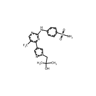 CC(C)(O)Cn1cc(-c2nc(Nc3ccc(S(N)(=O)=O)cc3)ncc2C(F)(F)F)cn1